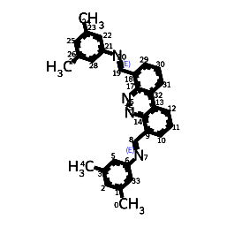 Cc1cc(C)cc(/N=C/c2cccc3c2nnc2c(/C=N/c4cc(C)cc(C)c4)cccc23)c1